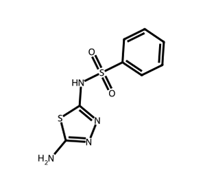 Nc1nnc(NS(=O)(=O)c2ccccc2)s1